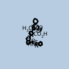 Cc1c(-c2ccc(N3CCc4cccc(C(=O)Nc5nc6ccccc6s5)c4C3)nc2C(=O)O)cnn1CC1(OCC2COCCO2)CCCCCC1